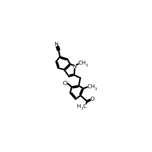 CC(=O)c1ccc(Cl)c(Cc2cc3ccc(C#N)cc3n2C)c1C